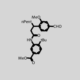 CCCCCC(CC(=O)Nc1cc(C(=O)OC)ccc1C(C)(C)C)c1ccc(C=O)cc1OC